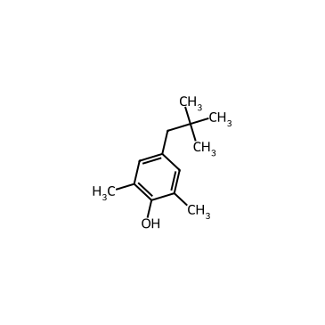 Cc1cc(CC(C)(C)C)cc(C)c1O